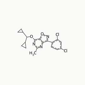 Cc1nc(OC(C2CC2)C2CC2)c2onc(-c3ccc(Cl)cc3Cl)c2n1